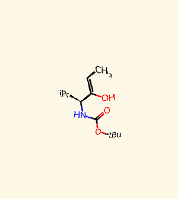 CC=C(O)[C@@H](NC(=O)OC(C)(C)C)C(C)C